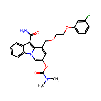 CN(C)C(=O)Oc1cc(COCCOc2cccc(Cl)c2)c2c(C(N)=O)c3ccccc3n2c1